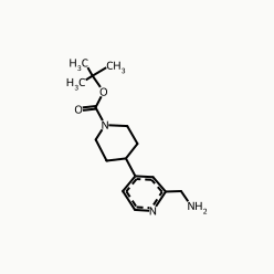 CC(C)(C)OC(=O)N1CCC(c2ccnc(CN)c2)CC1